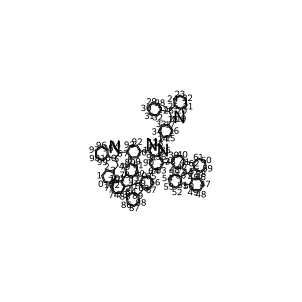 c1ccc(CC2C(c3ccc(-c4nc(-c5ccc(C6=Nc7ccccc7C6c6ccccc6)cc5)nc5c(-c6ccc7c(c6)C6(c8ccccc8-c8ccccc86)c6ccccc6-7)cc(-c6ccc7c(c6)C6(c8ccccc8-c8ccccc86)c6ccccc6-7)cc45)cc3)=Nc3ccccc32)cc1